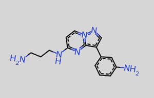 NCCCNc1ccn2ncc(-c3cccc(N)c3)c2n1